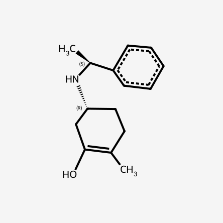 CC1=C(O)C[C@H](N[C@@H](C)c2ccccc2)CC1